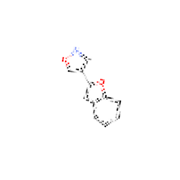 [c]1nocc1-c1cc2ccccc2o1